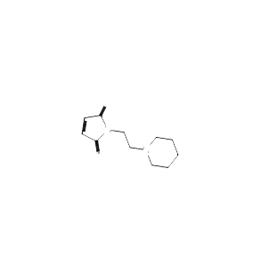 O=C1C=CC(=O)N1CCN1CCCCC1